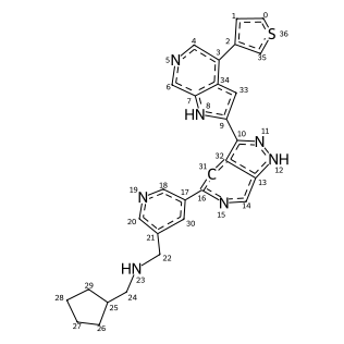 c1cc(-c2cncc3[nH]c(-c4n[nH]c5cnc(-c6cncc(CNCC7CCCC7)c6)cc45)cc23)cs1